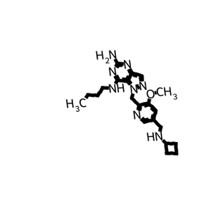 CCCCNc1nc(N)nc2cnn(Cc3ncc(CNC4CCC4)cc3OC)c12